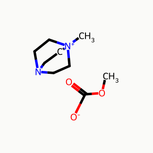 COC(=O)[O-].C[N+]12CCN(CC1)CC2